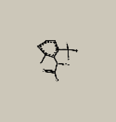 O=C(O)[C@H](O)c1c(F)cccc1C(F)(F)F